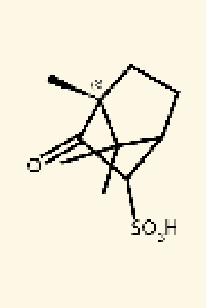 CC1(C)C2CC[C@@]1(C)C(=O)C2S(=O)(=O)O